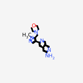 Cn1ncc(-c2cc3cc(N)ncc3cn2)c1CN1CCOCC1